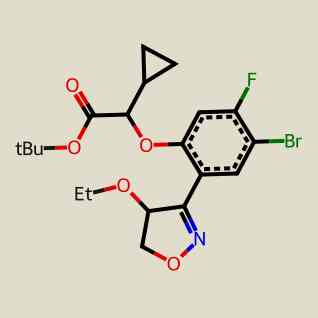 CCOC1CON=C1c1cc(Br)c(F)cc1OC(C(=O)OC(C)(C)C)C1CC1